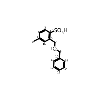 Cc1ccc(S(=O)(=O)O)c(COCc2ccccc2)c1